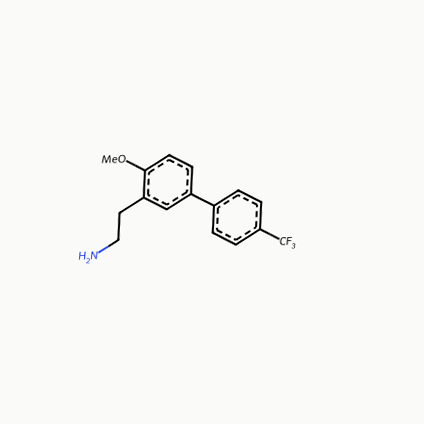 COc1ccc(-c2ccc(C(F)(F)F)cc2)cc1CCN